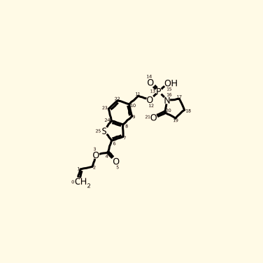 C=CCOC(=O)c1cc2cc(COP(=O)(O)N3CCCC3=O)ccc2s1